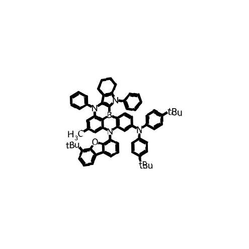 Cc1cc2c3c(c1)N(c1cccc4c1oc1c(C(C)(C)C)cccc14)c1cc(N(c4ccc(C(C)(C)C)cc4)c4ccc(C(C)(C)C)cc4)ccc1B3c1c(c3c(n1-c1ccccc1)CCCC3)N2c1ccccc1